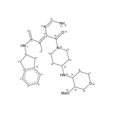 C=C(NC1Cc2ccccc2C1)/C(C)=C(\N=C/N)C(=O)N1CCC(NC2CCOCC2OC)CC1